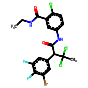 CC(Cl)(Cl)C(C(=O)Nc1ccc(Cl)c(C(=O)NCC(F)(F)F)c1)c1cc(F)c(F)c(Br)c1